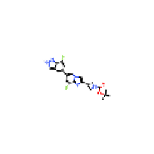 Cn1cc2cc(-c3cc(F)c4nc(C5CN(C(=O)OC(C)(C)C)C5)cn4c3)cc(F)c2n1